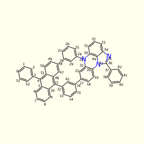 c1ccc(-c2c3ccccc3c(-c3cccc(-c4ccc5c(c4)N(c4ccccc4)c4cccc6nc(-c7ccccc7)n-5c46)c3)c3ccccc23)cc1